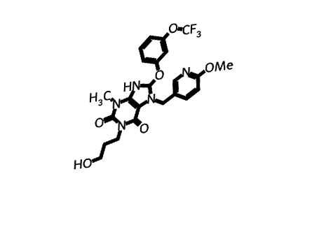 COc1ccc(CN2c3c(n(C)c(=O)n(CCCO)c3=O)NC2Oc2cccc(OC(F)(F)F)c2)cn1